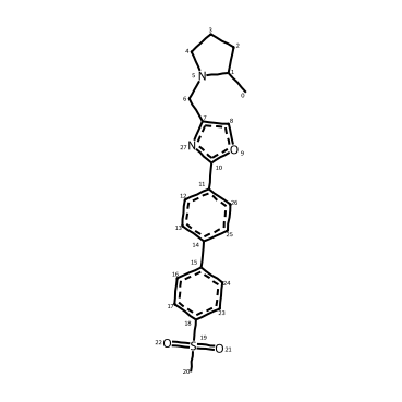 CC1CCCN1Cc1coc(-c2ccc(-c3ccc(S(C)(=O)=O)cc3)cc2)n1